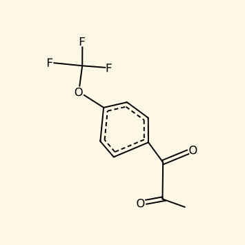 CC(=O)C(=O)c1ccc(OC(F)(F)F)cc1